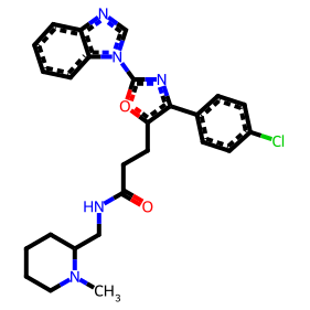 CN1CCCCC1CNC(=O)CCc1oc(-n2cnc3ccccc32)nc1-c1ccc(Cl)cc1